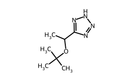 CC(OC(C)(C)C)c1nn[nH]n1